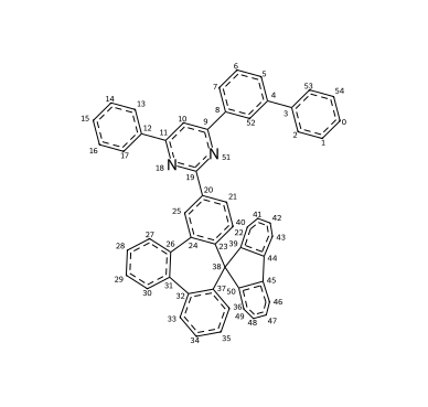 c1ccc(-c2cccc(-c3cc(-c4ccccc4)nc(-c4ccc5c(c4)-c4ccccc4-c4ccccc4C54c5ccccc5-c5ccccc54)n3)c2)cc1